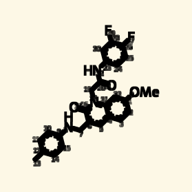 COc1ccc2cc(CNc3ccc(C)cc3)c(=O)n(CC(=O)Nc3ccc(F)c(F)c3)c2c1